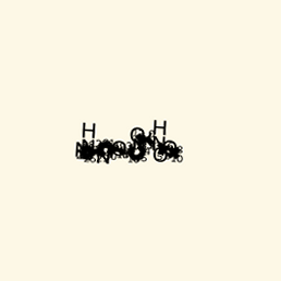 C[C@@H](CNC(=O)OC(C)(C)C)C(=O)N1CCC[C@@H](COc2ccc(-c3ccn[nH]3)nc2)C1